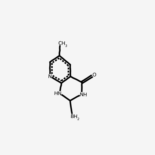 BC1NC(=O)c2cc(C)cnc2N1